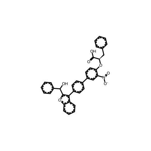 O=C(O)[C@@H](Cc1ccccc1)Oc1ccc(-c2ccc(-c3c(C(O)c4ccccc4)oc4ccccc34)cc2)cc1[N+](=O)[O-]